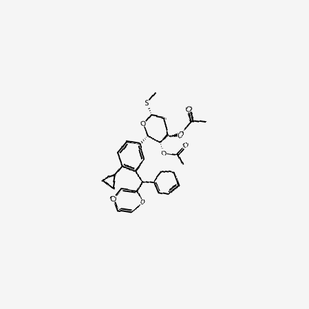 CS[C@@H]1[CH][C@@H](OC(C)=O)[C@H](OC(C)=O)[C@H](c2ccc(C3CC3)c(C(C3=CC=CCC3)C3=COC=CO3)c2)O1